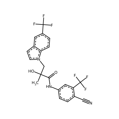 CC(O)(Cn1ccc2cc(C(F)(F)F)ccc21)C(=O)Nc1ccc(C#N)c(C(F)(F)F)c1